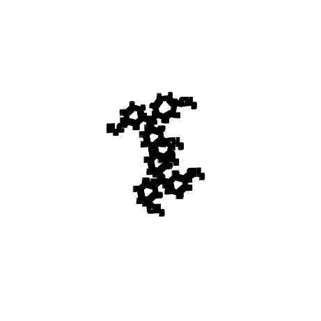 CC1=CC=CC(N(c2cccc(C)c2)c2ccc(-c3ccc(N(c4cccc(C)c4)c4cccc(C)c4)cc3C)c(C)c2)C=C1